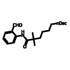 CCCCCCCCCCCCCCC(C)(C)C(=O)Nc1ccccc1C=O